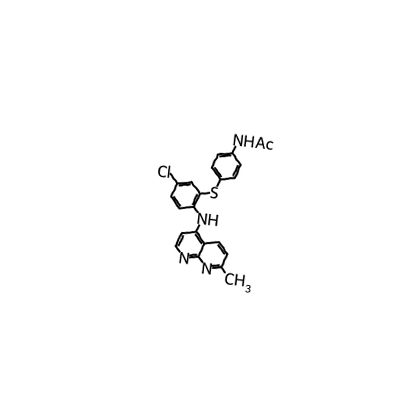 CC(=O)Nc1ccc(Sc2cc(Cl)ccc2Nc2ccnc3nc(C)ccc23)cc1